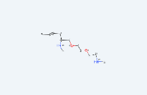 CC#CCC(COCCOCCNC)NC